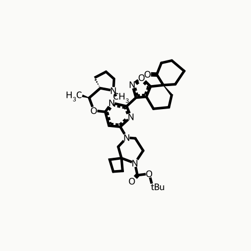 C[C@H](Oc1cc(N2CCN(C(=O)OC(C)(C)C)C3(CCC3)C2)nc(-c2noc3c2CCC[C@@]32CCCCC2=O)n1)[C@@H]1CCCN1C